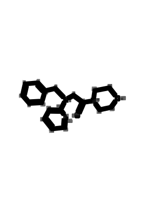 O=C(CN(Cc1ccccc1)c1ccccn1)N1CCOCC1